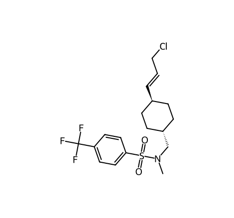 CN(C[C@H]1CC[C@H](/C=C/CCl)CC1)S(=O)(=O)c1ccc(C(F)(F)F)cc1